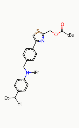 CCC(CC)c1ccc(N(Cc2ccc(-c3csc(COC(=O)C(C)(C)C)n3)cc2)C(C)C)cc1